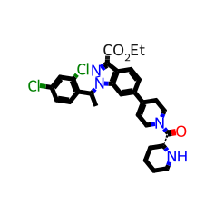 CCOC(=O)c1nn(C(C)c2ccc(Cl)cc2Cl)c2cc(C3=CCN(C(=O)[C@H]4CCCCN4)CC3)ccc12